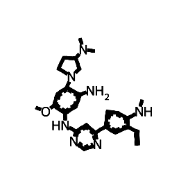 C=Cc1cc(-c2cc(Nc3cc(N)c(N4CCC(N(C)C)C4)cc3OC)ncn2)ccc1NC